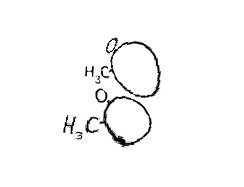 CC1CC=CCCCCCCCCCC(=O)C1.CC1CCCCCCCCCCCCC(=O)C1